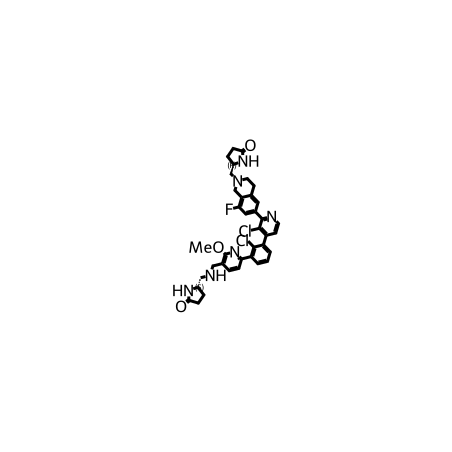 COc1nc(-c2cccc(-c3ccnc(-c4cc(F)c5c(c4)CCN(C[C@H]4CCC(=O)N4)C5)c3Cl)c2Cl)ccc1CNC[C@@H]1CCC(=O)N1